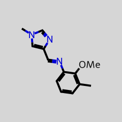 COc1c(C)cccc1N=Cc1cn(C)cn1